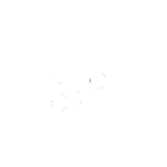 O=C(O)c1cccc2c3c(n(Cc4cc(F)ccc4F)c12)CCCCC3